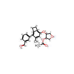 CC(=O)OC1COCC1Oc1cc(C)c(-c2cccc(C=O)c2)c2c1CC2